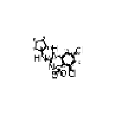 O=S1(=O)N=C(NC2CCCC2)Nc2cc(Cl)cc(Cl)c21